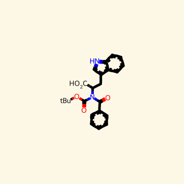 CC(C)(C)OC(=O)N(C(=O)c1ccccc1)C(Cc1c[nH]c2ccccc12)C(=O)O